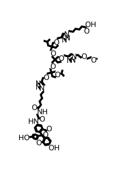 CCC(COCc1cn(CCOCCOC)nn1)(COCC(CC)(COCc1cn(CCCCCC(=O)NCC(=O)Nc2ccc3c(c2)C(=O)OC32c3ccc(O)cc3Oc3cc(O)ccc32)nn1)COC(C)C)COCC(CC)(COCc1cn(CCCCCC(=O)O)nn1)CC(C)C